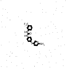 Nc1ccc(Sc2ccc(NC(=O)Nc3cccc(C(F)(F)F)c3)cc2)cn1